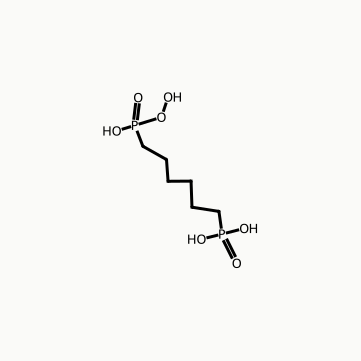 O=P(O)(O)CCCCCCP(=O)(O)OO